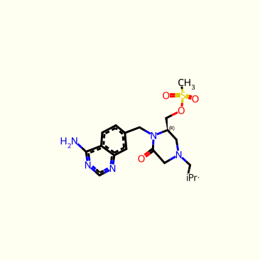 C[C](C)CN1CC(=O)N(Cc2ccc3c(N)ncnc3c2)[C@@H](COS(C)(=O)=O)C1